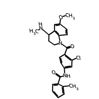 CNC1CCN(C(=O)c2ccc(NC(=O)c3ccccc3C)cc2Cl)c2ccc(OC)cc21